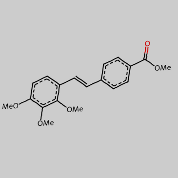 COC(=O)c1ccc(C=Cc2ccc(OC)c(OC)c2OC)cc1